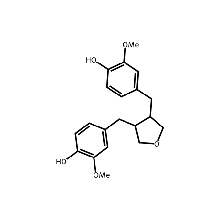 COc1cc(CC2COCC2Cc2ccc(O)c(OC)c2)ccc1O